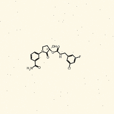 NC(=O)c1cccc(N2CC[C@@](O)(OC(=O)NCc3cc(F)cc(Cl)c3)C2=O)c1